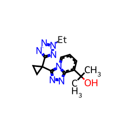 CCn1nnc(C2(c3nnc4c(C(C)(C)O)cccn34)CC2)n1